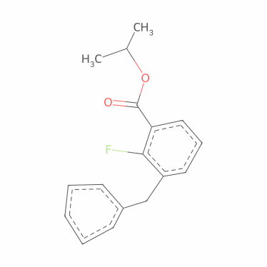 CC(C)OC(=O)c1cccc(Cc2ccccc2)c1F